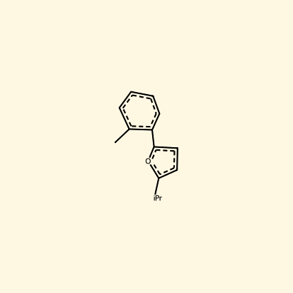 Cc1ccccc1-c1ccc(C(C)C)o1